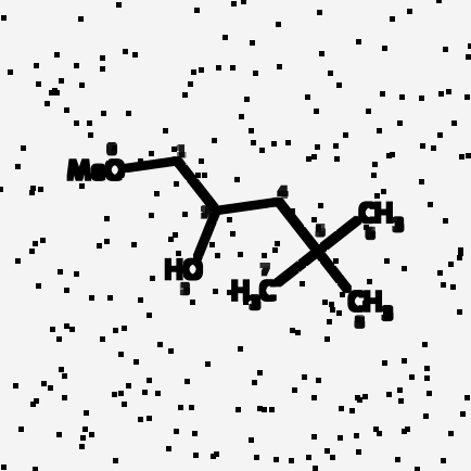 COCC(O)CC(C)(C)C